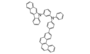 c1ccc(N(c2ccc(-c3ccc4c(ccc5ccc6ccccc6c54)c3)cc2)c2cccc(-n3c4ccccc4c4cc5ccccc5cc43)c2)cc1